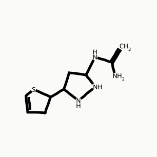 C=C(N)NC1CC(C2CC=CS2)NN1